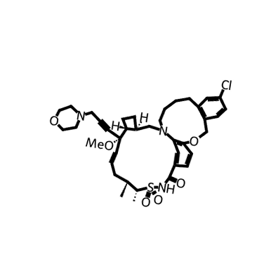 CO[C@@]1(C#CCN2CCOCC2)/C=C/C[C@H](C)[C@@H](C)S(=O)(=O)NC(=O)c2ccc3c(c2)N(CCCCc2cc(Cl)ccc2CO3)C[C@@H]2CC[C@H]21